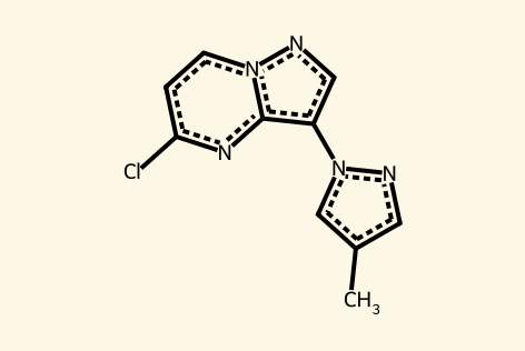 Cc1cnn(-c2cnn3ccc(Cl)nc23)c1